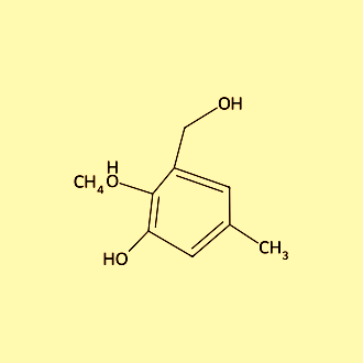 C.Cc1cc(O)c(O)c(CO)c1